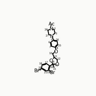 CC(=O)N1CCN(c2ccc(OCC3COC(C)(c4ccc(Br)cc4Br)O3)cc2)CC1